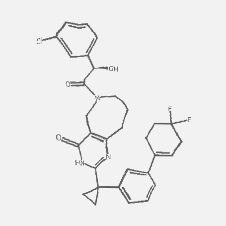 O=C([C@H](O)c1cccc(Cl)c1)N1CCCc2nc(C3(c4cccc(C5=CCC(F)(F)CC5)c4)CC3)[nH]c(=O)c2C1